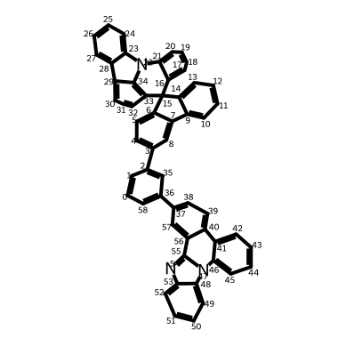 c1cc(-c2ccc3c(c2)-c2ccccc2C32c3ccccc3-n3c4ccccc4c4cccc2c43)cc(-c2ccc3c4ccccc4n4c5ccccc5nc4c3c2)c1